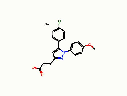 COc1ccc(-n2nc(CCC(=O)[O-])cc2-c2ccc(Cl)cc2)cc1.[Na+]